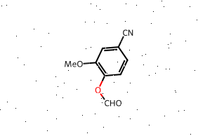 COc1cc(C#N)ccc1OC=O